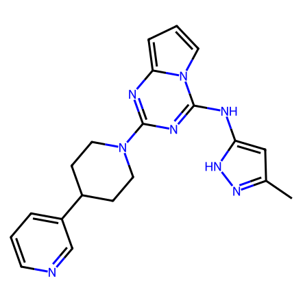 Cc1cc(Nc2nc(N3CCC(c4cccnc4)CC3)nc3cccn23)[nH]n1